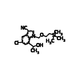 CC(O)c1cc(Cl)cc2c(C#N)cn(COCC[Si](C)(C)C)c12